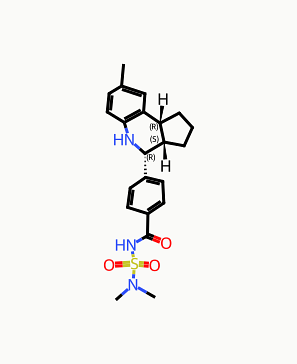 Cc1ccc2c(c1)[C@@H]1CCC[C@@H]1[C@H](c1ccc(C(=O)NS(=O)(=O)N(C)C)cc1)N2